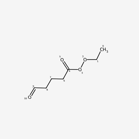 CCOOC(=O)CCC[C]=O